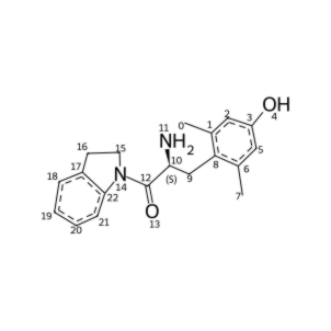 Cc1cc(O)cc(C)c1C[C@H](N)C(=O)N1CCc2ccccc21